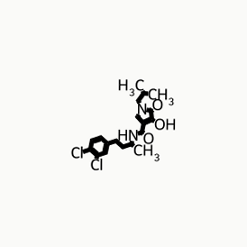 CC(C)CN1CC(C(=O)NC(C)CCc2ccc(Cl)c(Cl)c2)=C(O)C1=O